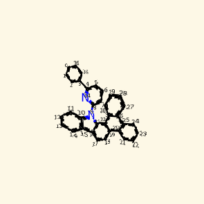 c1ccc(-c2cccc(-n3c4ccccc4c4ccc5c6ccccc6c6ccccc6c5c43)n2)cc1